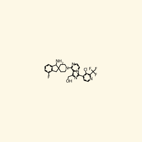 NC1c2cccc(F)c2CC12CCN(c1nccn3c(-c4ccnc(C(F)(F)F)c4Cl)nc(CO)c13)CC2